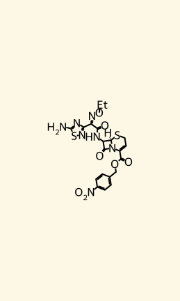 CCO/N=C(\C(=O)NC1C(=O)N2C(C(=O)OCc3ccc([N+](=O)[O-])cc3)=CCS[C@H]12)c1nsc(N)n1